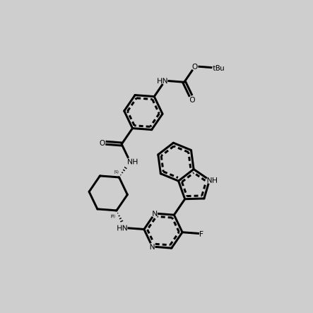 CC(C)(C)OC(=O)Nc1ccc(C(=O)N[C@H]2CCC[C@@H](Nc3ncc(F)c(-c4c[nH]c5ccccc45)n3)C2)cc1